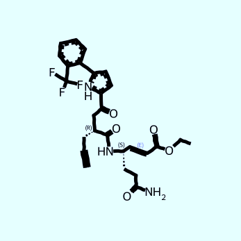 C#CC[C@H](CC(=O)c1ccc(-c2ccccc2C(F)(F)F)[nH]1)C(=O)N[C@H](/C=C/C(=O)OCC)CCC(N)=O